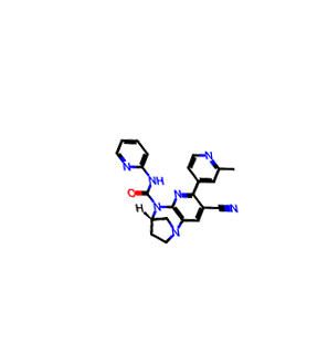 Cc1cc(-c2nc3c(cc2C#N)N2CC[C@@H](C2)N3C(=O)Nc2ccccn2)ccn1